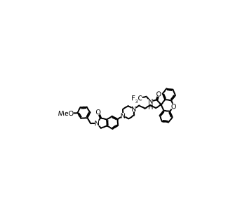 COc1cccc(CN2Cc3ccc(N4CCN(CCCCC5(C(=O)NCC(F)(F)F)c6ccccc6Oc6ccccc65)CC4)cc3C2=O)c1